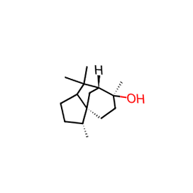 C[C@@H]1CCC2C(C)(C)[C@H]3C[C@]21CC[C@]3(C)O